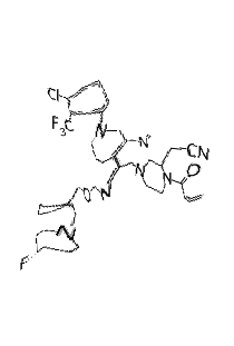 C=CC(=O)N1CCN(/C(=N/COCC2(CN3CC[C@H](F)C3)CC2)C2=C(N=C)CN(c3cccc(Cl)c3C(F)(F)F)CC2)CC1CC#N